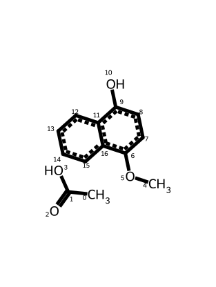 CC(=O)O.COc1ccc(O)c2ccccc12